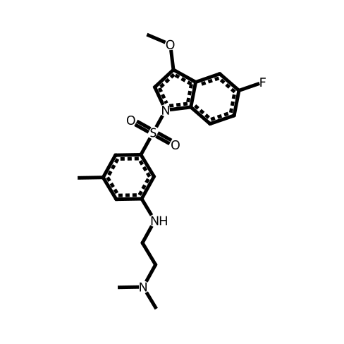 COc1cn(S(=O)(=O)c2cc(C)cc(NCCN(C)C)c2)c2ccc(F)cc12